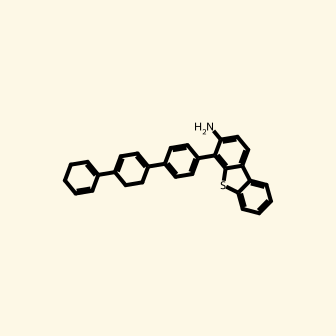 Nc1ccc2c(sc3ccccc32)c1-c1ccc(C2=CC=C(C3=CCCC=C3)CC2)cc1